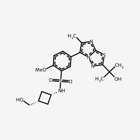 COc1ccc(-c2c(C)nc3sc(C(C)(C)O)nn23)cc1S(=O)(=O)N[C@H]1C[C@@H](CO)C1